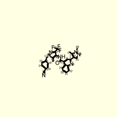 Cc1c(-c2cc(C(=O)Nc3c(C(F)(F)F)nn(Cc4ccc(C#N)cc4)c3C)c3ccccc3n2)cnn1C